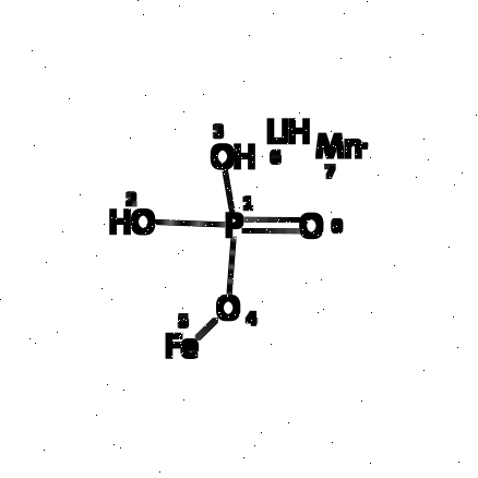 O=P(O)(O)[O][Fe].[LiH].[Mn]